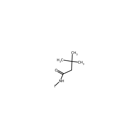 CC(C)(C)CC(=O)NI